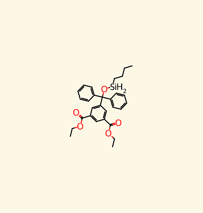 CCCC[SiH2]OC(c1ccccc1)(c1ccccc1)c1cc(C(=O)OCC)cc(C(=O)OCC)c1